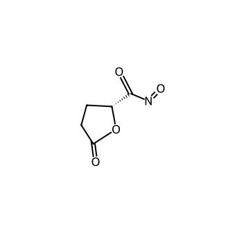 O=NC(=O)[C@H]1CCC(=O)O1